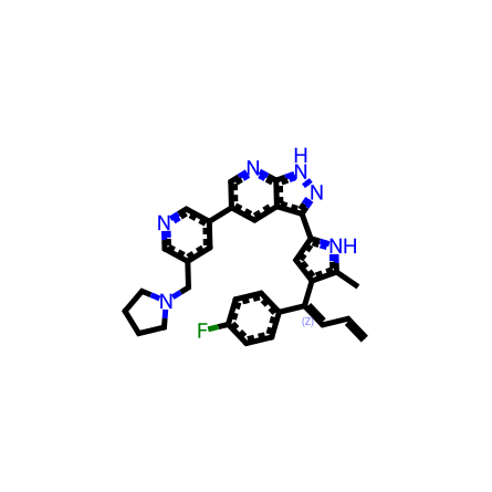 C=C/C=C(/c1ccc(F)cc1)c1cc(-c2n[nH]c3ncc(-c4cncc(CN5CCCC5)c4)cc23)[nH]c1C